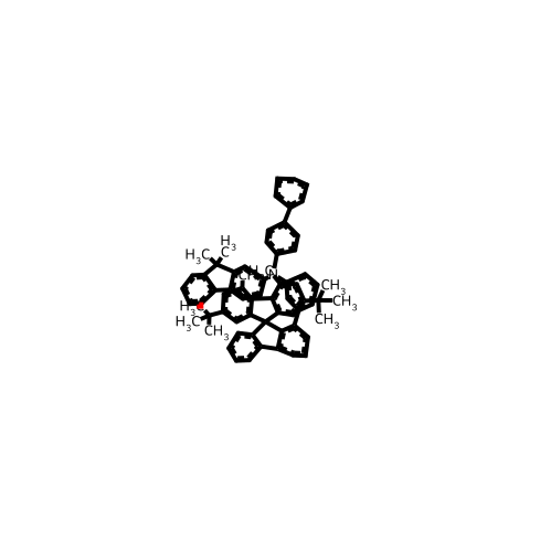 Cc1cc(C(C)(C)C)cc2c1-c1c(C)cc(C(C)(C)C)cc1C21c2ccccc2-c2cccc(-c3cccc(N(c4ccc(-c5ccccc5)cc4)c4ccc5c(c4)C(C)(C)c4ccccc4-5)c3)c21